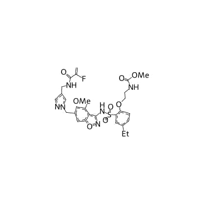 C=C(F)C(=O)NCc1cnn(Cc2cc(OC)c3c(NS(=O)(=O)c4cc(CC)ccc4OCCNC(=O)OC)noc3c2)c1